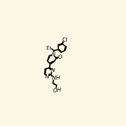 CCC(c1cccc(Cl)c1)n1ccc(-c2ccnc(NCCO)n2)cc1=O